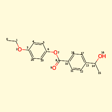 CCOc1ccc(OC(=O)c2ccc(C(C)O)cc2)cc1